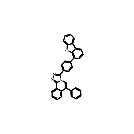 c1ccc(-c2cn3c(-c4ccc(-c5cccc6c5oc5ccccc56)cc4)nnc3c3ccccc23)cc1